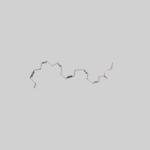 CC/C=C\C/C=C\C/C=C\C/C=C\C/C=C\C/C=C\CC(=O)OCC